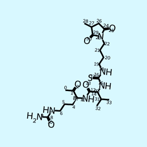 CC(=O)[C@H](CCCNC(N)=O)NC(=O)[C@@H](NC(=S)NCCCCN1C(=O)CC(C)C1=O)C(C)C